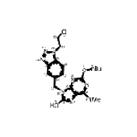 CCCCOc1nc(NC)c2nc(O)n(Cc3ccc4c(c3)nnn4CCCl)c2n1